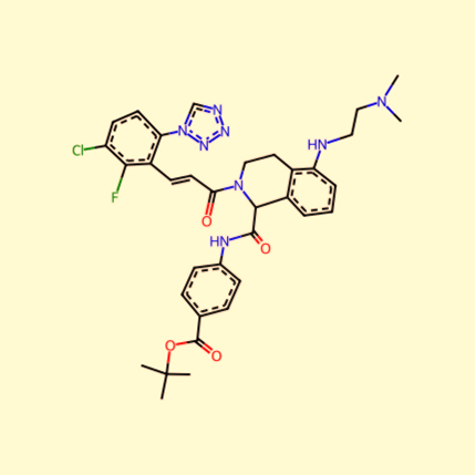 CN(C)CCNc1cccc2c1CCN(C(=O)C=Cc1c(-n3cnnn3)ccc(Cl)c1F)C2C(=O)Nc1ccc(C(=O)OC(C)(C)C)cc1